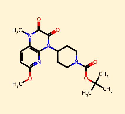 COc1ccc2c(n1)n(C1CCN(C(=O)OC(C)(C)C)CC1)c(=O)c(=O)n2C